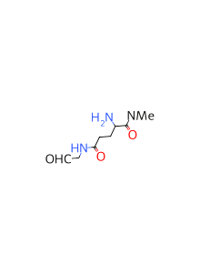 CNC(=O)C(N)CCC(=O)NCC=O